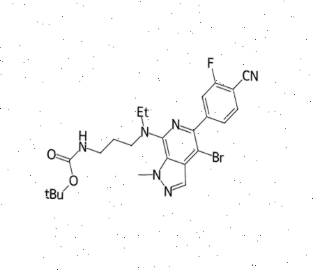 CCN(CCCNC(=O)OC(C)(C)C)c1nc(-c2ccc(C#N)c(F)c2)c(Br)c2cnn(C)c12